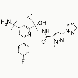 Cn1nc(-n2cccn2)cc1C(=O)NCC(O)(c1cc(C(C)(C)N)cc(-c2ccc(F)cc2)n1)C1CC1